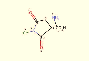 NC(=O)O.O=C1CCC(=O)N1Cl